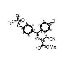 COC(=O)N(CC#N)N=C(c1ccc(Cl)cc1)c1ccc(OS(=O)(=O)C(F)(F)F)cc1